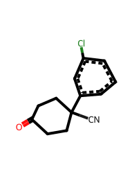 N#CC1(c2cccc(Cl)c2)CCC(=O)CC1